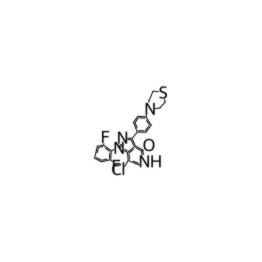 O=c1[nH]cc(Cl)c2c1c(-c1ccc(N3CCSCC3)cc1)nn2-c1c(F)cccc1F